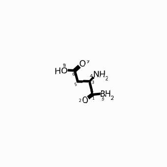 BC(=O)C(N)CC(=O)O